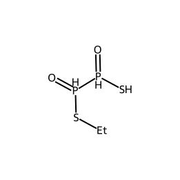 CCS[PH](=O)[PH](=O)S